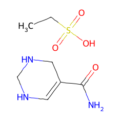 CCS(=O)(=O)O.NC(=O)C1=CNCNC1